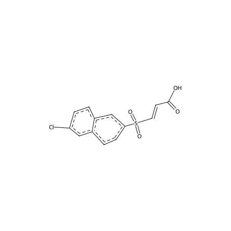 O=C(O)C=CS(=O)(=O)c1ccc2cc(Cl)ccc2c1